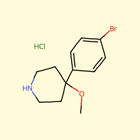 COC1(c2ccc(Br)cc2)CCNCC1.Cl